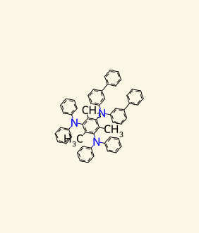 Cc1c(N(c2ccccc2)c2ccccc2)c(C)c(N(c2cccc(-c3ccccc3)c2)c2cccc(-c3ccccc3)c2)c(C)c1N(c1ccccc1)c1ccccc1